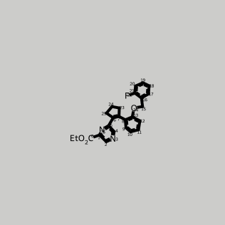 CCOC(=O)c1cncc(C2=C(c3ccccc3OCc3ccccc3F)CCC2)n1